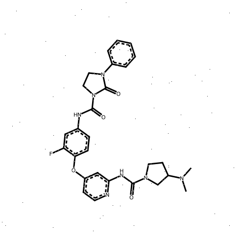 CN(C)C1CCN(C(=O)Nc2cc(Oc3ccc(NC(=O)N4CCN(c5ccccc5)C4=O)cc3F)ccn2)C1